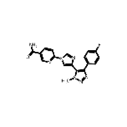 Cn1nnc(-c2ccc(F)cc2)c1-c1cn(-c2ccc(C(N)=O)cn2)cn1